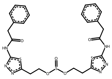 O=C(Cc1ccccc1)Nc1nnc(CCOS(=O)OCCc2nnc(NC(=O)Cc3ccccc3)s2)s1